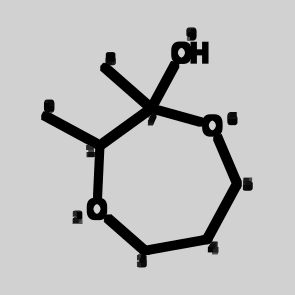 CC1OCCCOC1(C)O